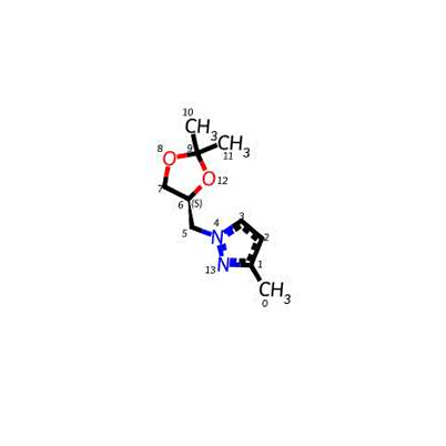 Cc1ccn(C[C@H]2COC(C)(C)O2)n1